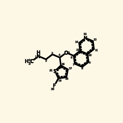 CNCCC(Oc1cccc2ccncc12)c1ccc(F)s1